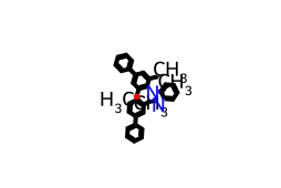 CC(C)c1cc(-c2ccccc2)cc(C(C)C)c1-n1c(-c2cccc(-c3ccccc3)c2)nc2ccccc21